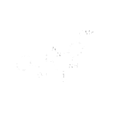 COc1ccc2c(c1)-n1ncc(C(O)c3ccccc3)c1CC(=O)N2